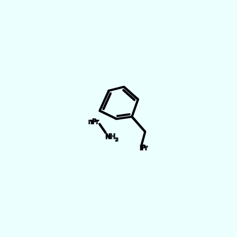 CC(C)Cc1ccccc1.CCCN